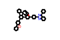 c1ccc(-c2nc(-c3ccc(-c4ccc(-c5cc(-c6ccc7c(c6)oc6ccccc67)cc6c5C5(c7ccccc7-6)C6CC7CC(C6)CC5C7)cc4)cc3)nc3ccccc23)cc1